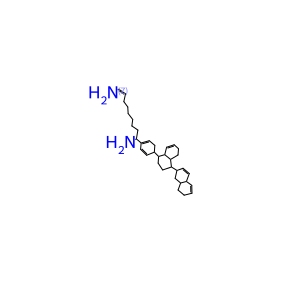 N/C=C\CCCCCCC(N)C1=CCC(C2CCC(C3C=CC4C=CCCC4C3)C3CCC=CC23)C=C1